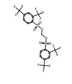 O=S(=O)(OCOS(=O)(=O)c1ccc(C(F)(F)F)cc1C(F)(F)F)c1ccc(C(F)(F)F)cc1C(F)(F)F